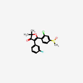 C[S+]([O-])c1ccc(C2=C(c3cccc(F)c3)C(=O)C(C)(C)O2)c(Cl)c1